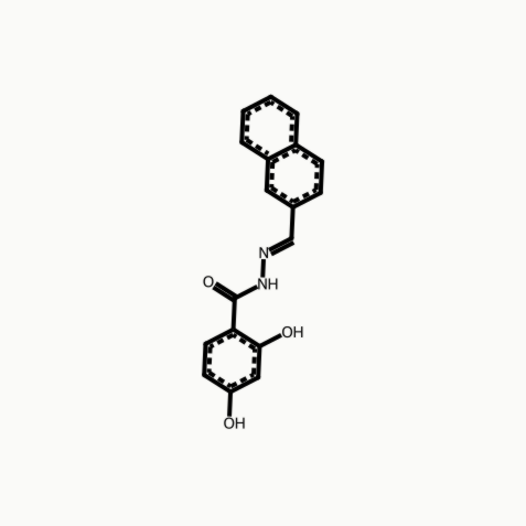 O=C(NN=Cc1ccc2ccccc2c1)c1ccc(O)cc1O